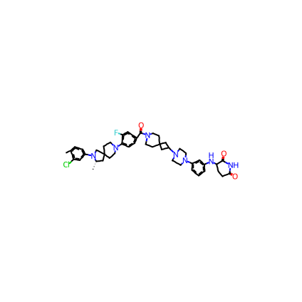 Cc1ccc(N2CC3(CCN(c4ccc(C(=O)N5CCC6(CC5)CC(N5CCN(c7cccc(NC8CCC(=O)NC8=O)c7)CC5)C6)cc4F)CC3)C[C@@H]2C)cc1Cl